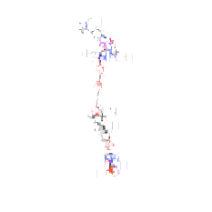 Cc1ncsc1-c1ccc(CNC(=O)[C@@H]2C[C@@H](O)CN2C(=O)[C@@H](NC(=O)COCCCOCCCCCOc2c(Cl)cc(C(C)(C)c3ccc(OCc4cnc(NS(C)(=O)=O)nc4)cc3)cc2C#N)C(C)(C)C)cc1